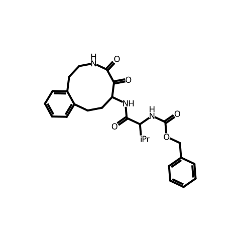 CC(C)C(NC(=O)OCc1ccccc1)C(=O)NC1CCc2ccccc2CCNC(=O)C1=O